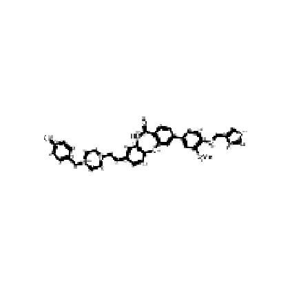 COc1cc(-c2ccc3c(c2)Nc2ccc(CCN4CCN(Cc5ccc(Cl)cc5)CC4)cc2NC3=O)ccc1OCc1cscn1